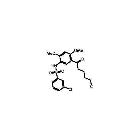 COc1cc(OC)c(C(=O)CCCCCl)cc1NS(=O)(=O)c1cccc(Cl)c1